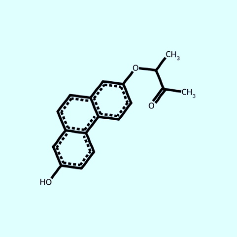 CC(=O)C(C)Oc1ccc2c(ccc3cc(O)ccc32)c1